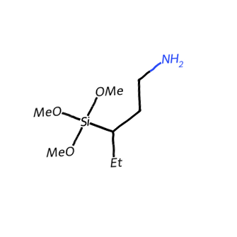 CCC(CCN)[Si](OC)(OC)OC